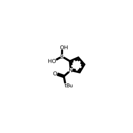 CC(C)(C)C(=O)n1cccc1B(O)O